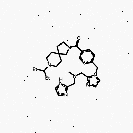 CCC(CC)N1CCC2(CCN(C(=O)c3ccc(Cn4ccnc4CN(C)Cc4ncc[nH]4)cc3)C2)CC1